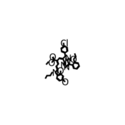 CCCCN1/C(=C/C=C(/C=c2/c(-c3ccc(Cl)cc3)nn3c(-c4ccccc4OCC)nnc23)C(=O)OCC)Oc2cc(OC)ccc21